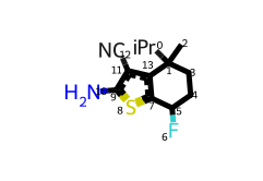 CC(C)C1(C)CCC(F)c2sc(N)c(C#N)c21